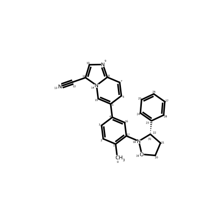 Cc1ccc(-c2ccc3ncc(C#N)n3c2)cc1N1OCC[C@H]1c1ccccc1